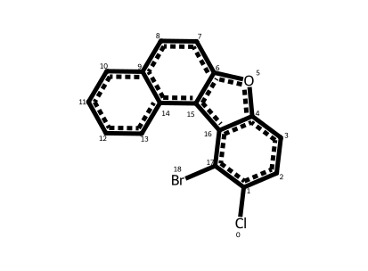 Clc1ccc2oc3ccc4ccccc4c3c2c1Br